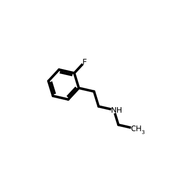 CCNCCc1ccccc1F